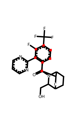 O=C(c1cccc(F)c1-c1ncccn1)N1C(CO)C2CCC1C(Oc1ccc(C(F)(F)F)cn1)C2